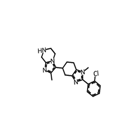 Cc1nc2n(c1C1CCc3c(nc(-c4ccccc4Cl)n3C)C1)CCNC2